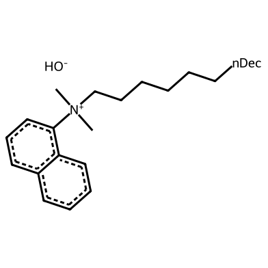 CCCCCCCCCCCCCCCC[N+](C)(C)c1cccc2ccccc12.[OH-]